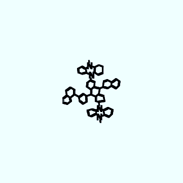 CN1C2=C(C=CCC2)N(c2ccc3c(-c4cccc(-c5cccc6ccccc56)c4)c4cc(N5c6ccccc6N(C)c6ccccc65)ccc4c(-c4ccc5ccccc5c4)c3c2)c2ccccc21